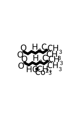 CC(C)(C)CCCCCC(=O)[O-].CC(C)(C)CCCCCC(=O)[O-].CO.[Co+2]